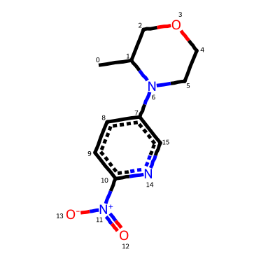 CC1COCCN1c1ccc([N+](=O)[O-])nc1